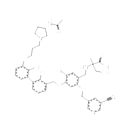 CC(=O)N[C@H]1CCN(CCCOc2cccc(-c3cccc(COc4cc(OCc5cncc(C#N)c5)c(CNC(C)(CO)C(=O)O)cc4Cl)c3Cl)c2Cl)C1